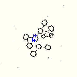 c1ccc(-c2cc(-c3ccccc3)cc(-c3cc(-c4ccc5c(c4)C4(c6ccccc6-c6ccccc6-5)c5ccccc5-c5ccccc54)nc(-c4ccccc4-c4ccccc4)n3)c2)cc1